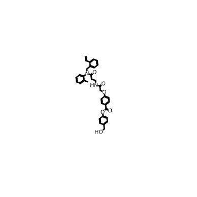 C=Cc1ccccc1CN(C(=O)CCNC(=O)COc1ccc(C(=O)Oc2ccc(CO)cc2)cc1)c1ccccc1C